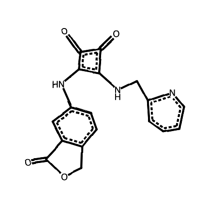 O=C1OCc2ccc(Nc3c(NCc4ccccn4)c(=O)c3=O)cc21